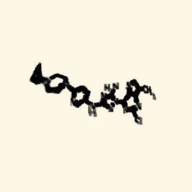 Cc1csc2c(-n3nc(Nc4ccc(N5CCN(C6CC6)CC5)nc4)nc3N)nc(Cl)nc12